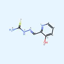 NC(=S)NN=Cc1ncccc1O